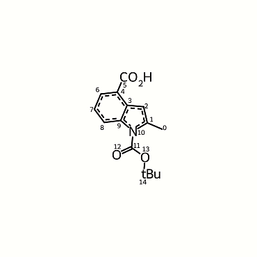 Cc1cc2c(C(=O)O)cccc2n1C(=O)OC(C)(C)C